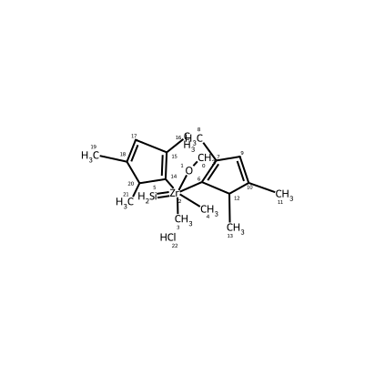 C[O][Zr]([CH3])([CH3])(=[SiH2])([C]1=C(C)C=C(C)C1C)[C]1=C(C)C=C(C)C1C.Cl